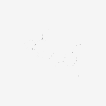 COC(=O)c1ccoc1S(=O)(=O)NC(=O)Nc1nc(OC)nc(OC)n1